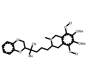 CCOc1c2c(c(OCC)c(OC)c1OC)CN(C)C(CCCC(C#N)(C(C)CC)C1COc3ccccc3O1)C2